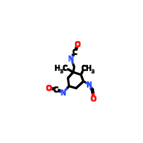 CC1C(N=C=O)CC(N=C=O)CC1(C)CN=C=O